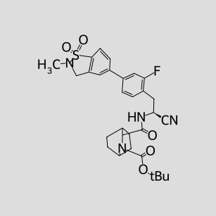 CN1Cc2cc(-c3ccc(C[C@@H](C#N)NC(=O)C4C5CCC(CC5)N4C(=O)OC(C)(C)C)c(F)c3)ccc2S1(=O)=O